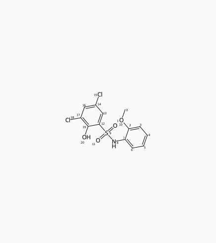 COc1ccccc1NS(=O)(=O)c1cc(Cl)cc(Cl)c1O